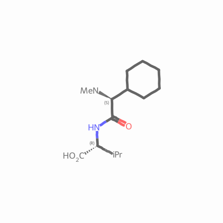 CN[C@H](C(=O)N[C@@H](C(=O)O)C(C)C)C1CCCCC1